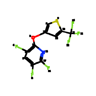 Fc1cc(F)c(Oc2csc(C(F)(F)F)c2)nc1F